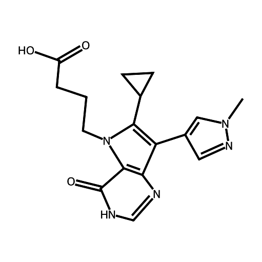 Cn1cc(-c2c(C3CC3)n(CCCC(=O)O)c3c(=O)[nH]cnc23)cn1